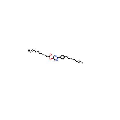 CCCCCCCC=CC(=O)Oc1cnc(-c2ccc(CCCCCCC)cc2)nc1